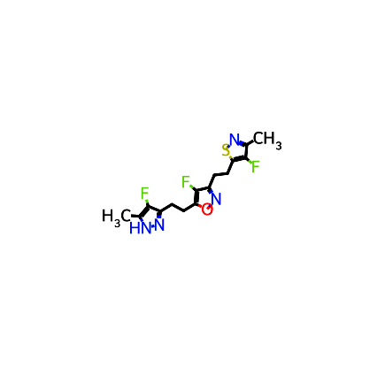 Cc1nsc(CCc2noc(CCc3n[nH]c(C)c3F)c2F)c1F